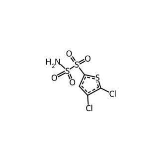 NS(=O)(=O)S(=O)(=O)c1cc(Cl)c(Cl)s1